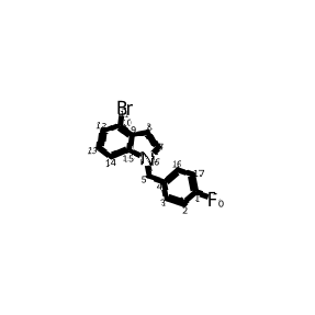 Fc1ccc(Cn2ccc3c(Br)cccc32)cc1